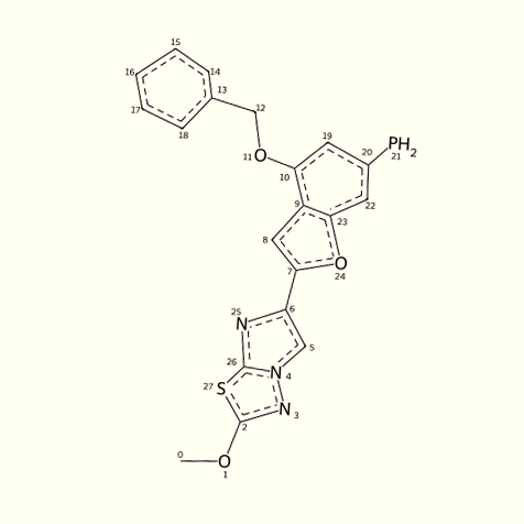 COc1nn2cc(-c3cc4c(OCc5ccccc5)cc(P)cc4o3)nc2s1